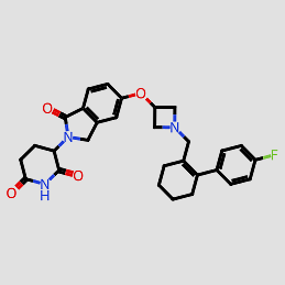 O=C1CCC(N2Cc3cc(OC4CN(CC5=C(c6ccc(F)cc6)CCCC5)C4)ccc3C2=O)C(=O)N1